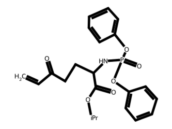 C=CC(=O)CCC(NP(=O)(Oc1ccccc1)Oc1ccccc1)C(=O)OC(C)C